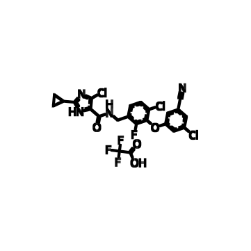 N#Cc1cc(Cl)cc(Oc2c(Cl)ccc(CNC(=O)c3[nH]c(C4CC4)nc3Cl)c2F)c1.O=C(O)C(F)(F)F